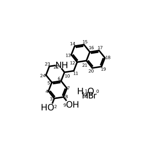 Br.O.Oc1cc2c(cc1O)C(Cc1cccc3ccccc13)NCC2